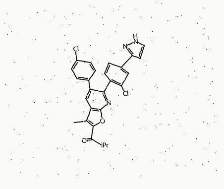 Cc1c(C(=O)C(C)C)oc2nc(-c3ccc(-c4cc[nH]n4)cc3Cl)c(-c3ccc(Cl)cc3)cc12